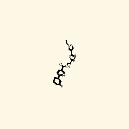 CCn1cc(-c2nnc(CCNC(=O)c3ccc(-c4cccc(F)c4)nc3)o2)cn1